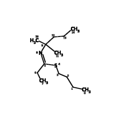 CCCCS/C(CC)=N\C(C)(C)CCC